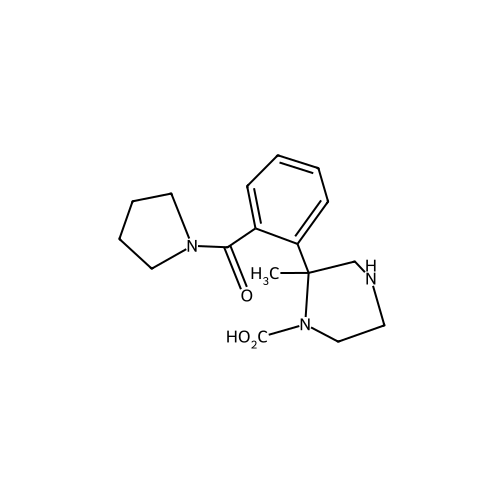 CC1(c2ccccc2C(=O)N2CCCC2)CNCCN1C(=O)O